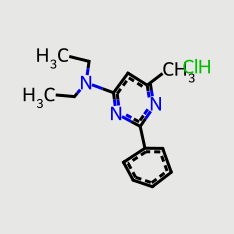 CCN(CC)c1cc(C)nc(-c2ccccc2)n1.Cl